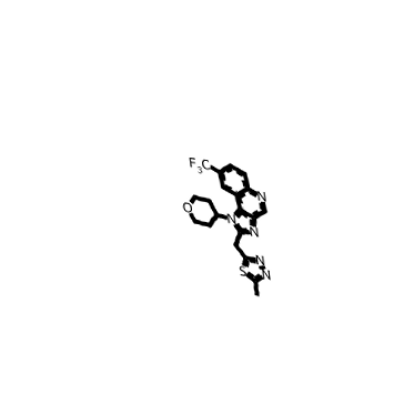 Cc1nnc(Cc2nc3cnc4ccc(C(F)(F)F)cc4c3n2C2CCOCC2)s1